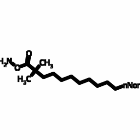 CCCCCCCCCCCCCCCCCCC(C)(C)C(=O)ON